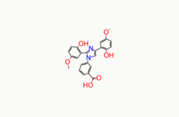 COc1ccc(O)c(-c2cn(-c3cccc(C(=O)O)c3)c(-c3cc(OC)ccc3O)n2)c1